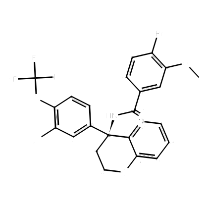 COc1cc(C(=O)N[C@]2(c3ccc(OC(F)(F)F)c(F)c3)CCOc3cccnc32)ccc1Br